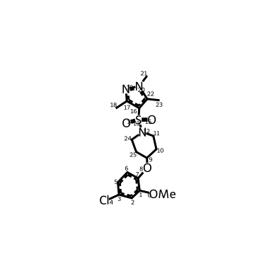 COc1cc(Cl)ccc1OC1CCN(S(=O)(=O)c2c(C)nn(C)c2C)CC1